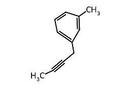 CC#CCc1cccc(C)c1